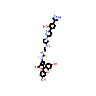 O=C1OC2(c3ccc(O)cc3Oc3cc(O)ccc32)c2ccc(NC(=S)NCCNC3CCN(c4ccc(-c5ccc(-c6cn[nH]c6)cc5O)nn4)C3)cc21